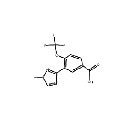 Cn1ccc(-c2cc(C(=O)O)ccc2OC(F)(F)F)n1